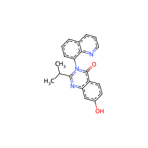 CC(C)c1nc2cc(O)ccc2c(=O)n1-c1cccc2cccnc12